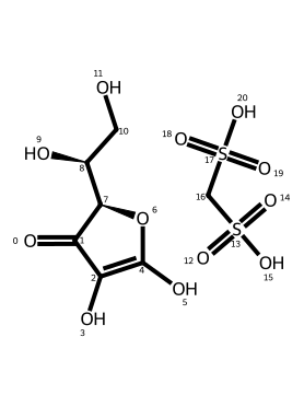 O=C1C(O)=C(O)O[C@@H]1[C@@H](O)CO.O=S(=O)(O)CS(=O)(=O)O